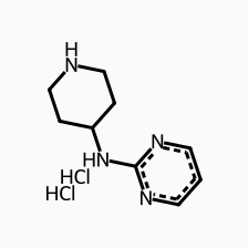 Cl.Cl.c1cnc(NC2CCNCC2)nc1